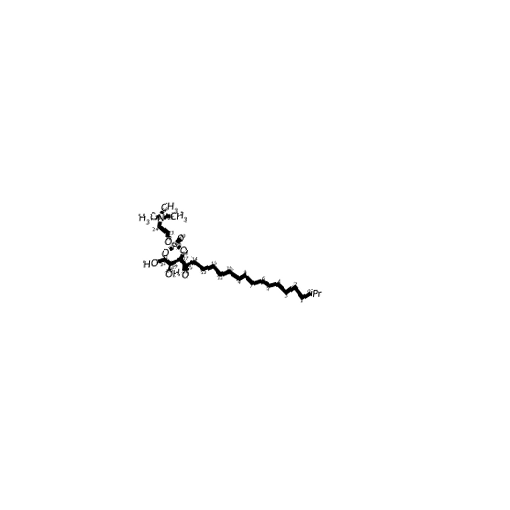 CC(C)CCCCCCCCCCCCCCC(=O)C(OP(=O)([O-])OCC[N+](C)(C)C)[C@@H](O)CO